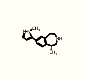 C[C@@H]1CNCCc2cc(-c3ccnn3C)ccc21